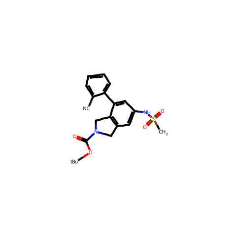 CC(C)(C)OC(=O)N1Cc2cc(NS(C)(=O)=O)cc(-c3ccccc3C#N)c2C1